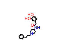 O=C(Cc1ccc(O)c(O)c1)NC1CCN(CCCc2ccccc2)CC1